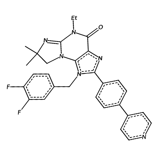 CCN1C(=O)c2nc(-c3ccc(-c4ccncc4)cc3)n(Cc3ccc(F)c(F)c3)c2N2CC(C)(C)N=C12